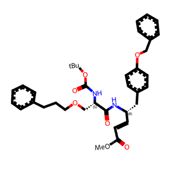 COC(=O)C=C[C@@H](Cc1ccc(OCc2ccccc2)cc1)NC(=O)[C@H](COCCCc1ccccc1)NC(=O)OC(C)(C)C